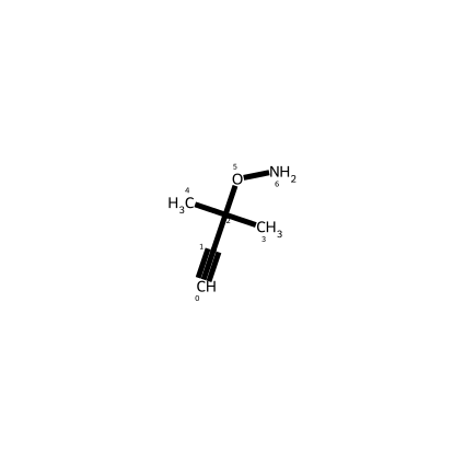 C#CC(C)(C)ON